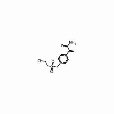 C=C(C(N)=O)c1ccc(CS(=O)(=O)CCCl)cc1